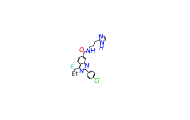 CCC(F)c1nc(-c2ccc(Cl)cc2)nc2cc(C(=O)NCCCc3ncc[nH]3)ccc12